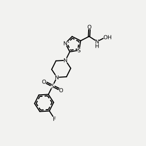 O=C(NO)c1cnc(N2CCN(S(=O)(=O)c3cccc(F)c3)CC2)s1